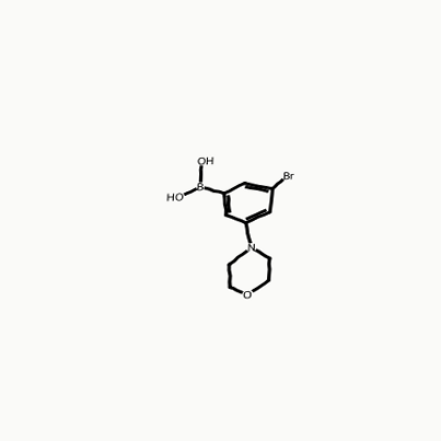 OB(O)c1cc(Br)cc(N2CCOCC2)c1